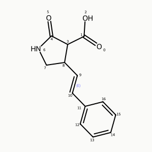 O=C(O)C1C(=O)NCC1/C=C/c1ccccc1